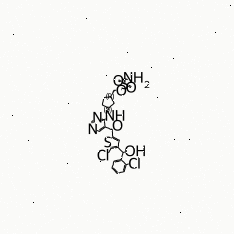 NS(=O)(=O)OC[C@@H]1CC[C@H](Nc2ncncc2C(=O)c2cc(C(O)c3ccccc3Cl)c(Cl)s2)C1